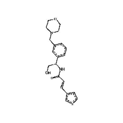 O=C(C=Cc1ccsc1)NC(CO)c1cccc(CN2CCOCC2)c1